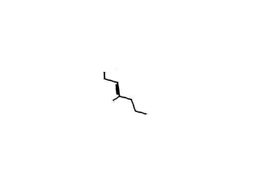 CCCC(C)C/C=C(\C=O)CCC(C)C